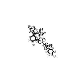 C=C[C@]1(C)C[C@@H](OC(=O)COS(=O)(=O)c2ccc(C)cc2)[C@@]2(C)C[C@](CCC(C)=O)(CC[C@H]2C)[C@@H](CC)[C@@H]1O